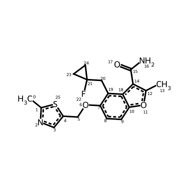 Cc1ncc(COc2ccc3oc(C)c(C(N)=O)c3c2CC2(F)CC2)s1